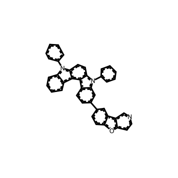 c1ccc(-n2c3ccccc3c3c4c5ccc(-c6ccc7oc8ccncc8c7c6)cc5n(-c5ccccc5)c4ccc32)cc1